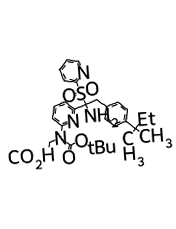 CCC(C)(C)c1ccc(CC(N)(c2cccc(N(CC(=O)O)C(=O)OC(C)(C)C)n2)S(=O)(=O)c2ccccn2)cc1